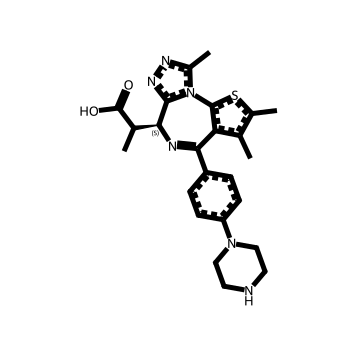 Cc1sc2c(c1C)C(c1ccc(N3CCNCC3)cc1)=N[C@@H](C(C)C(=O)O)c1nnc(C)n1-2